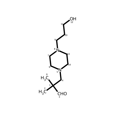 CC(C)(C=O)CN1CCN(CCCO)CC1